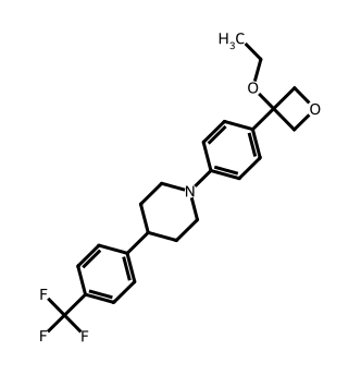 CCOC1(c2ccc(N3CCC(c4ccc(C(F)(F)F)cc4)CC3)cc2)COC1